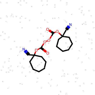 N#CC1(OC(=O)OOC(=O)OC2(C#N)CCCCCC2)CCCCCC1